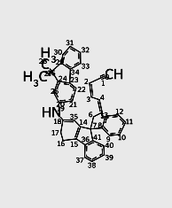 C#C/C=C\C=C/CC1(c2ccccc2)C2=C(CCC(Nc3ccc4c(c3)C(C)(C)c3ccccc3-4)=C2)c2ccccc21